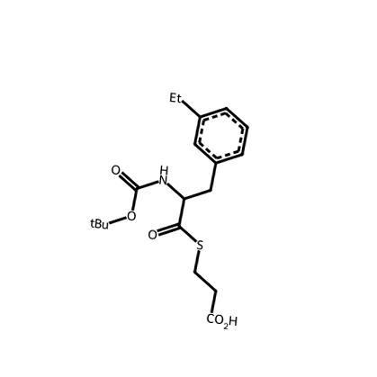 CCc1cccc(CC(NC(=O)OC(C)(C)C)C(=O)SCCC(=O)O)c1